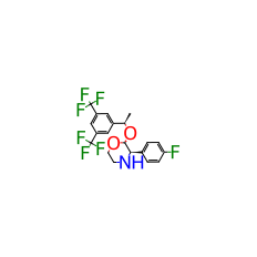 C[C@@H](O[C@@H]1OCCN[C@@H]1c1ccc(F)cc1)c1cc(C(F)(F)F)cc(C(F)(F)F)c1